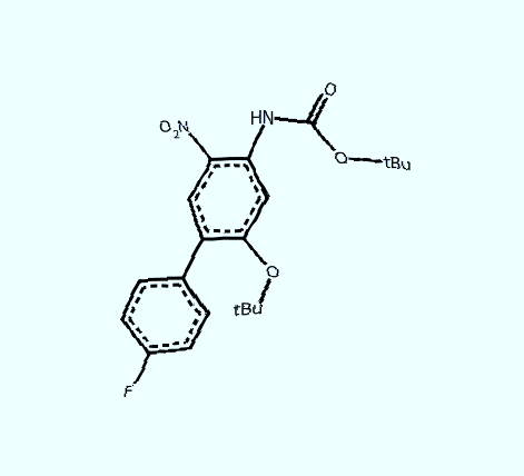 CC(C)(C)OC(=O)Nc1cc(OC(C)(C)C)c(-c2ccc(F)cc2)cc1[N+](=O)[O-]